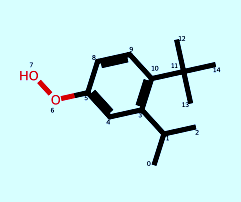 CC(C)c1cc(OO)ccc1C(C)(C)C